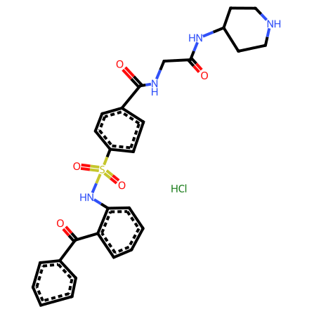 Cl.O=C(CNC(=O)c1ccc(S(=O)(=O)Nc2ccccc2C(=O)c2ccccc2)cc1)NC1CCNCC1